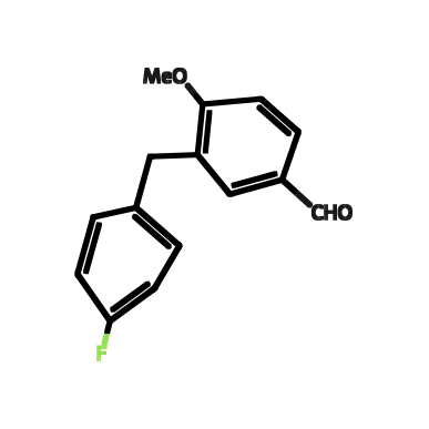 COc1ccc(C=O)cc1Cc1ccc(F)cc1